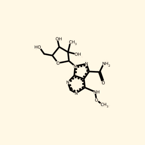 CONc1ncnc2c1c(C(N)=O)nn2C1OC(CO)C(O)C1(C)O